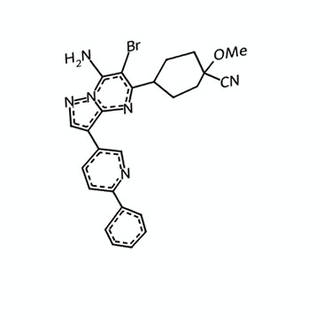 COC1(C#N)CCC(c2nc3c(-c4ccc(-c5ccccc5)nc4)cnn3c(N)c2Br)CC1